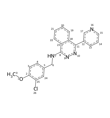 COc1ccc(CNc2nnc(-c3cccnc3)c3ccccc23)cc1Cl